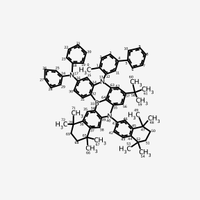 Cc1ccc(-c2ccccc2)cc1N1c2cc(N(c3ccccc3)c3ccccc3)ccc2B2c3cc4c(cc3N(c3ccc5c(c3)C(C)(C)CCC5(C)C)c3cc(C(C)(C)C)cc1c32)C(C)(C)CCC4(C)C